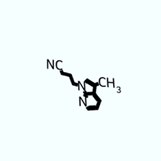 Cc1cn(CCCC#N)c2ncccc12